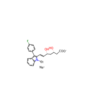 CCn1c(/C=C/[C@H](O)C[C@H](O)CC(=O)[O-])c(-c2ccc(F)cc2)c2ccccc21.[Na+]